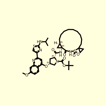 COc1ccc2c(O[C@@H]3C[C@H](C(=O)N[C@]45C[C@H]4CCCCCCCCCC4(CC4)S(=O)(=O)NC5=O)N(C(=O)OC(C)(C)C)C3)cc(-c3csc(NC(C)C)n3)nc2c1